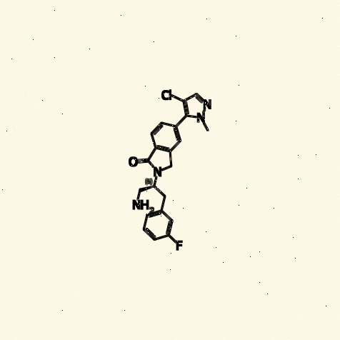 Cn1ncc(Cl)c1-c1ccc2c(c1)CN([C@H](CN)Cc1cccc(F)c1)C2=O